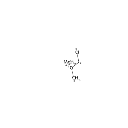 COCCl.[MgH2]